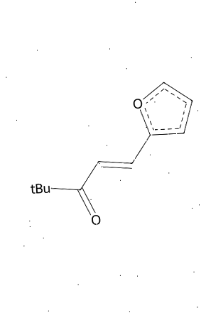 CC(C)(C)C(=O)/C=C/c1ccco1